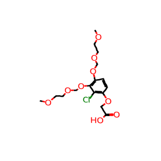 COCCOCOc1ccc(OCC(=O)O)c(Cl)c1OCOCCOC